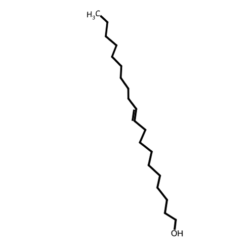 CCCCCCCCCC=CCCCCCCCCCO